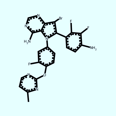 Cc1ccnc(Oc2ccc(-n3c(-c4ccc(N)c(F)c4F)c(Br)c4ncnc(N)c43)cc2F)n1